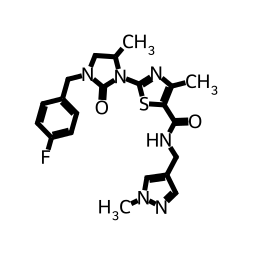 Cc1nc(N2C(=O)N(Cc3ccc(F)cc3)CC2C)sc1C(=O)NCc1cnn(C)c1